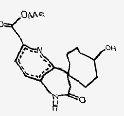 COC(=O)c1ccc2c(n1)C1(CCC(O)CC1)C(=O)N2